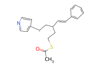 CC(=O)SCCC(C=Cc1ccccc1)C[CH]c1ccncc1